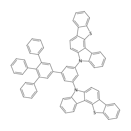 c1ccc(-c2cc(-c3cc(-n4c5ccccc5c5c6sc7ccccc7c6ccc54)cc(-n4c5ccccc5c5c6sc7ccccc7c6ccc54)c3)cc(-c3ccccc3)c2-c2ccccc2)cc1